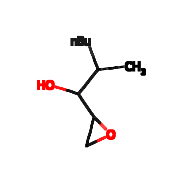 CCCCC(C)C(O)C1CO1